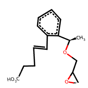 C[C@@H](OCC1CO1)c1ccccc1C=CCCC(=O)O